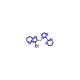 CCc1c(Cn2ccnc2-c2ncccn2)nc2cccnn12